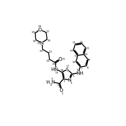 NC(=O)c1nc(Nc2ccc3ccccc3c2)sc1NC(=O)CCCN1CCOCC1